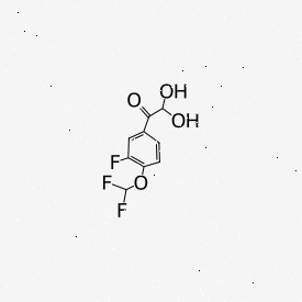 O=C(c1ccc(OC(F)F)c(F)c1)C(O)O